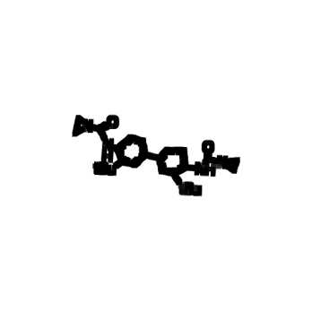 CC(C)(C)c1cc(-c2ccc(NC(=O)N3CC3)c(C(C)(C)C)c2)ccc1NC(=O)N1CC1